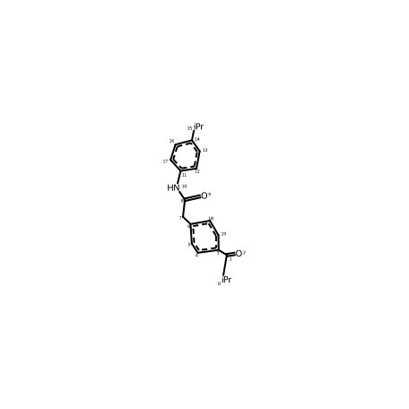 CC(C)C(=O)c1ccc(CC(=O)Nc2ccc(C(C)C)cc2)cc1